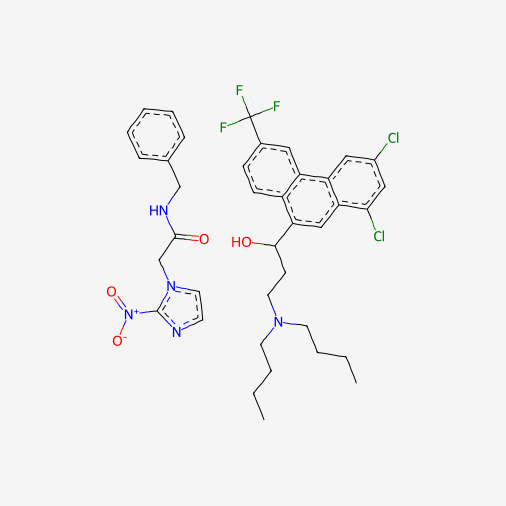 CCCCN(CCCC)CCC(O)c1cc2c(Cl)cc(Cl)cc2c2cc(C(F)(F)F)ccc12.O=C(Cn1ccnc1[N+](=O)[O-])NCc1ccccc1